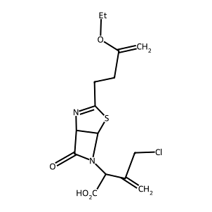 C=C(CCC1=NC2C(=O)N(C(C(=C)CCl)C(=O)O)C2S1)OCC